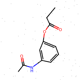 CCC(=O)Oc1cccc(NC(C)=O)c1